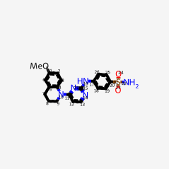 COc1ccc2c(c1)CCCN2c1ccnc(Nc2ccc(S(N)(=O)=O)cc2)n1